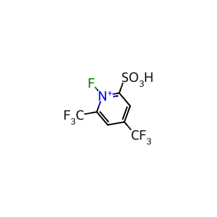 O=S(=O)(O)c1cc(C(F)(F)F)cc(C(F)(F)F)[n+]1F